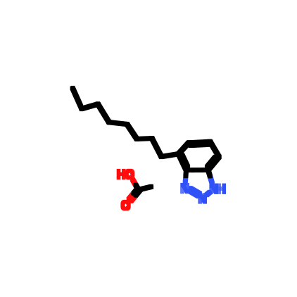 CC(=O)O.CCCCCCCCc1cccc2[nH]nnc12